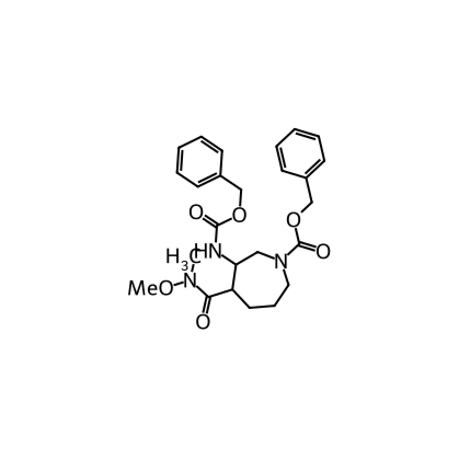 CON(C)C(=O)C1CCCN(C(=O)OCc2ccccc2)CC1NC(=O)OCc1ccccc1